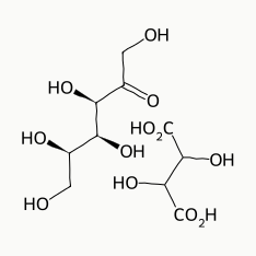 O=C(CO)[C@H](O)[C@@H](O)[C@H](O)CO.O=C(O)C(O)C(O)C(=O)O